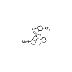 CNC1CCc2c1cn(S(=O)(=O)c1cc(C(F)(F)F)ccc1Cl)c2-c1ccccc1F